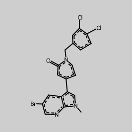 Cn1cc(-c2ccn(Cc3ccc(Cl)c(Cl)c3)c(=O)c2)c2cc(Br)cnc21